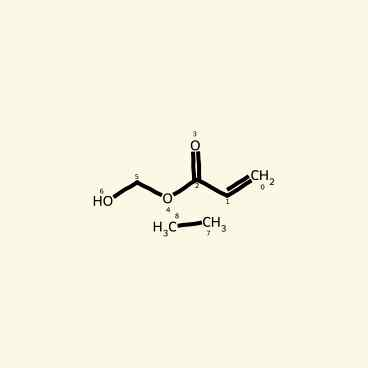 C=CC(=O)OCO.CC